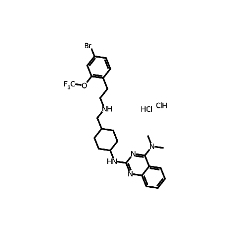 CN(C)c1nc(NC2CCC(CNCCc3ccc(Br)cc3OC(F)(F)F)CC2)nc2ccccc12.Cl.Cl